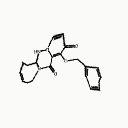 O=C1c2c(OCc3ccccc3)c(=O)ccn2NC2CC=CCN12